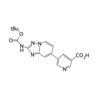 CC(C)(C)OC(=O)Nc1nc2cc(-c3cncc(C(=O)O)c3)ccn2n1